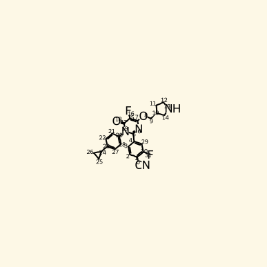 N#Cc1ccc(-c2nc(OC[C@H]3CCNC3)c(F)c(=O)n2-c2ccc(C3CC3)cc2)cc1F